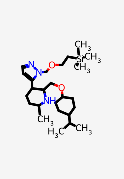 CC1CCC(c2ccnn2COCC[Si](C)(C)C)C(COC2CCC(C(C)C)CC2)N1